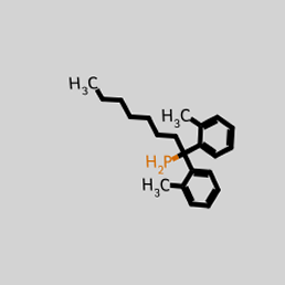 CCCCCCCC(P)(c1ccccc1C)c1ccccc1C